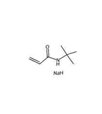 [CH2]C(C)(C)NC(=O)C=C.[NaH]